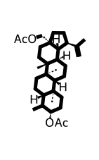 C=C(C)[C@@H]1CC[C@]2(COC(C)=O)CC[C@]3(C)[C@H](CC[C@@H]4[C@@]5(C)CC[C@H](OC(C)=O)C(C)[C@@H]5CC[C@]43C)[C@@H]12